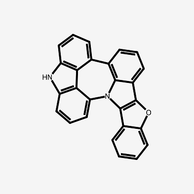 c1ccc2c(c1)oc1c3cccc4c5cccc6[nH]c7cccc(c7c65)n(c43)c21